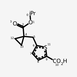 CC(C)OC(=O)C1(Cc2ccc(C(=O)O)s2)CC1